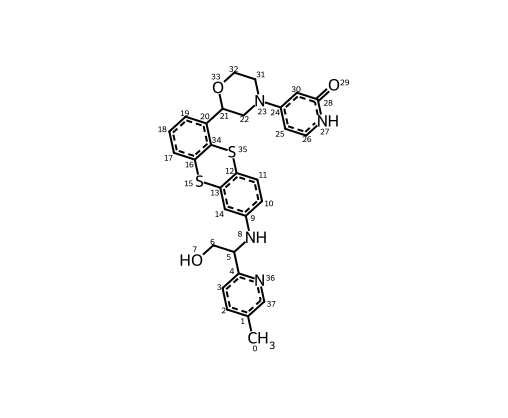 Cc1ccc(C(CO)Nc2ccc3c(c2)Sc2cccc(C4CN(c5cc[nH]c(=O)c5)CCO4)c2S3)nc1